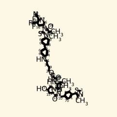 Cc1ncsc1-c1ccc(CNC(=O)[C@@H]2C[C@@H](O)CN2C(=O)[C@@H](NC(=O)COCCCCNc2ccc(-c3ccc(N4C(=S)N(c5cnc(C#N)c(C(F)(F)F)c5)C(=O)C4(C)C)cc3)cc2)C(C)(C)C)cc1